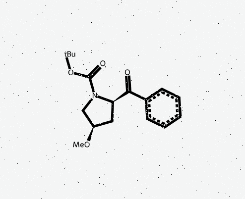 CO[C@@H]1C[C@H](C(=O)c2ccccc2)N(C(=O)OC(C)(C)C)C1